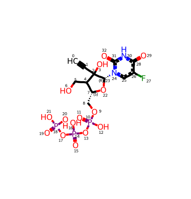 C#CC1(O)C(CO)[C@@H](COP(=O)(O)OP(=O)(O)OP(=O)(O)O)O[C@H]1n1cc(F)c(=O)[nH]c1=O